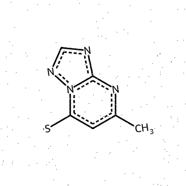 Cc1cc([S])n2ncnc2n1